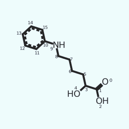 O=C(O)C(O)CCCCNc1ccccc1